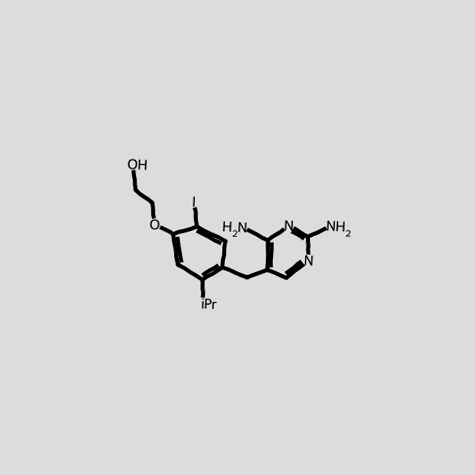 CC(C)c1cc(OCCO)c(I)cc1Cc1cnc(N)nc1N